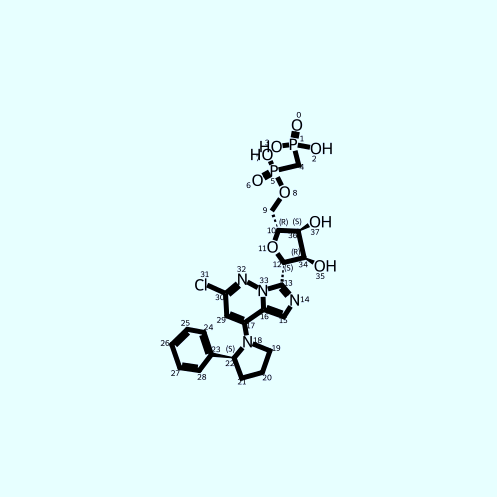 O=P(O)(O)CP(=O)(O)OC[C@H]1O[C@@H](c2ncc3c(N4CCC[C@H]4c4ccccc4)cc(Cl)nn23)[C@H](O)[C@@H]1O